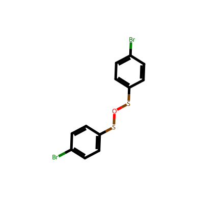 Brc1ccc(SOSc2ccc(Br)cc2)cc1